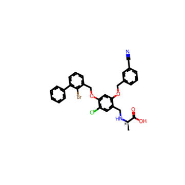 C[C@@H](NCc1cc(Cl)c(OCc2cccc(-c3ccccc3)c2Br)cc1OCc1cccc(C#N)c1)C(=O)O